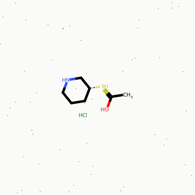 CC(O)=[SH][C@@H]1CCCNC1.Cl